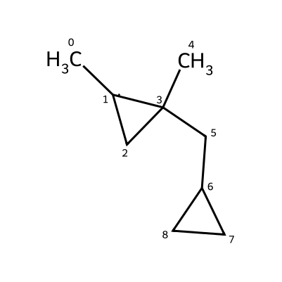 C[C]1CC1(C)CC1CC1